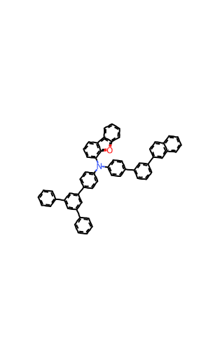 c1ccc(-c2cc(-c3ccccc3)cc(-c3ccc(N(c4ccc(-c5cccc(-c6ccc7ccccc7c6)c5)cc4)c4cccc5c4oc4ccccc45)cc3)c2)cc1